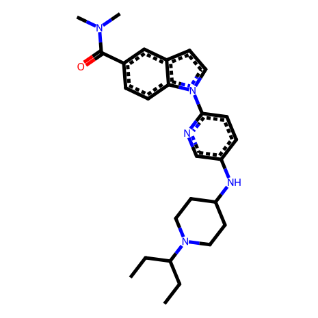 CCC(CC)N1CCC(Nc2ccc(-n3ccc4cc(C(=O)N(C)C)ccc43)nc2)CC1